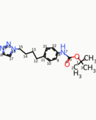 CC(C)(C)OC(=O)Nc1ccc(CCCCn2ccnn2)cc1